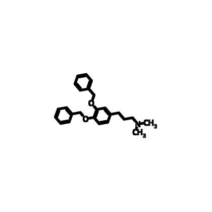 CN(C)CCCc1ccc(OCc2ccccc2)c(OCc2ccccc2)c1